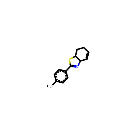 Bc1ccc(C2=NC3C=CCCC3S2)cc1